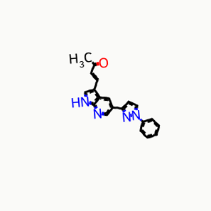 CC(=O)/C=C/c1c[nH]c2ncc(-c3ccn(-c4ccccc4)n3)cc12